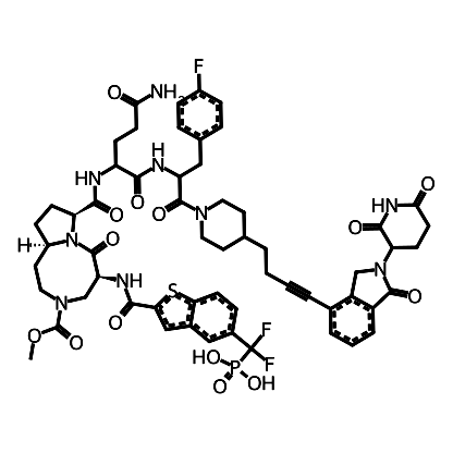 COC(=O)N1CC[C@H]2CC[C@@H](C(=O)NC(CCC(N)=O)C(=O)NC(Cc3ccc(F)cc3)C(=O)N3CCC(CCC#Cc4cccc5c4CN(C4CCC(=O)NC4=O)C5=O)CC3)N2C(=O)[C@@H](NC(=O)c2cc3cc(C(F)(F)P(=O)(O)O)ccc3s2)C1